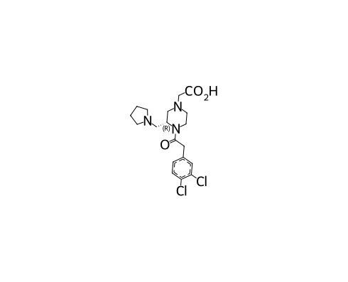 O=C(O)CN1CCN(C(=O)Cc2ccc(Cl)c(Cl)c2)[C@H](CN2CCCC2)C1